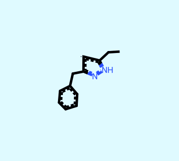 CCc1[c]c(Cc2ccccc2)n[nH]1